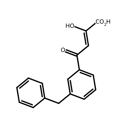 O=C(O)C(O)=CC(=O)c1cccc(Cc2ccccc2)c1